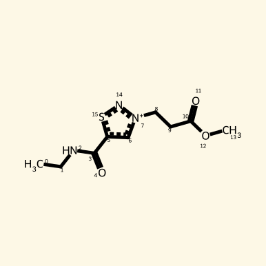 CCNC(=O)c1c[n+](CCC(=O)OC)ns1